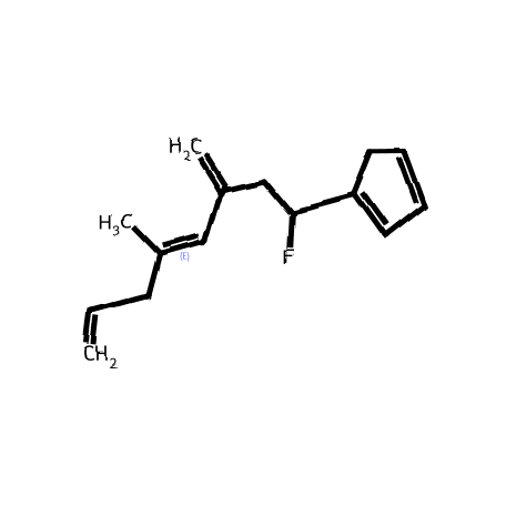 C=CC/C(C)=C/C(=C)CC(F)C1=CC=CC1